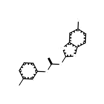 O=C(Nc1cccc(Cl)c1)Nc1nc2ccc([N+](=O)[O-])cc2[nH]1